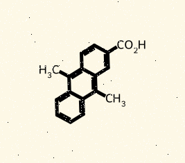 Cc1c2ccccc2c(C)c2cc(C(=O)O)ccc12